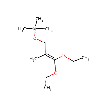 CCOC(OCC)=C(C)CO[Si](C)(C)C